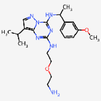 COc1cccc(C(C)Nc2nc(NCCOCCN)nc3c(C(C)C)cnn23)c1